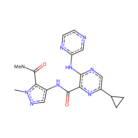 CNC(=O)c1c(NC(=O)c2nc(C3CC3)cnc2Nc2cnccn2)cnn1C